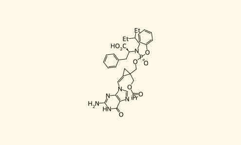 CCC(CC)CN([C@@H](Cc1ccccc1)C(=O)O)P(=O)(OCC1(COC(=O)C(C)C)C/C1=C/n1cnc2c(=O)[nH]c(N)nc21)Oc1ccccc1